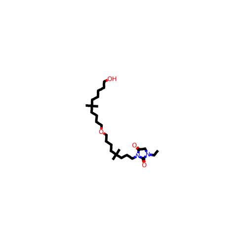 CCN1CC(=O)N(CCCC(C)(C)CCCCOCCCCC(C)(C)CCCCCO)C1=O